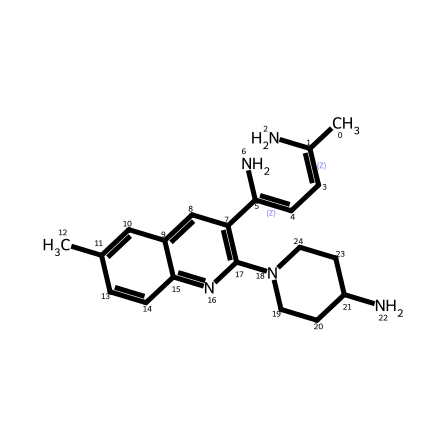 C/C(N)=C/C=C(\N)c1cc2cc(C)ccc2nc1N1CCC(N)CC1